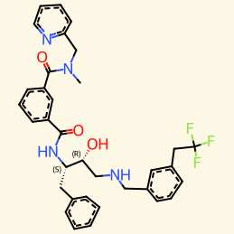 CN(Cc1ccccn1)C(=O)c1cccc(C(=O)N[C@@H](Cc2ccccc2)[C@H](O)CNCc2cccc(CC(F)(F)F)c2)c1